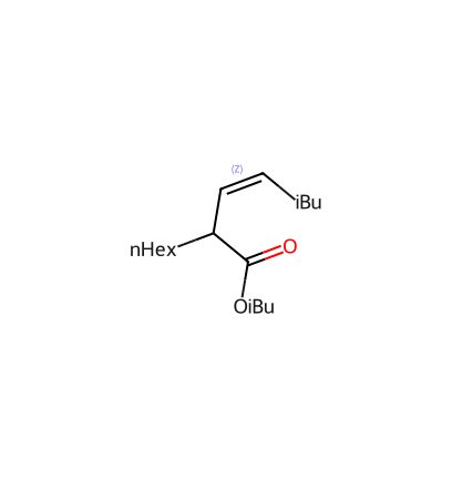 CCCCCCC(/C=C\C(C)CC)C(=O)OCC(C)C